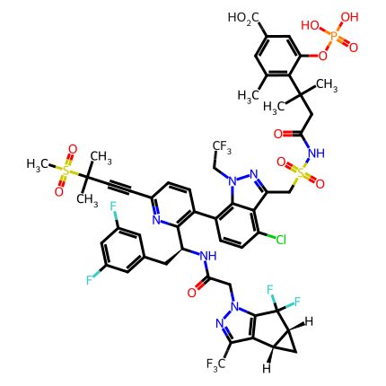 Cc1cc(C(=O)O)cc(OP(=O)(O)O)c1C(C)(C)CC(=O)NS(=O)(=O)Cc1nn(CC(F)(F)F)c2c(-c3ccc(C#CC(C)(C)S(C)(=O)=O)nc3[C@H](Cc3cc(F)cc(F)c3)NC(=O)Cn3nc(C(F)(F)F)c4c3C(F)(F)[C@@H]3C[C@H]43)ccc(Cl)c12